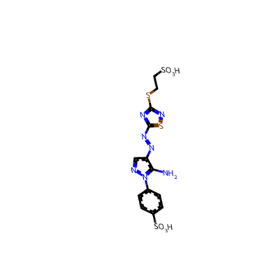 Nc1c(N=Nc2nc(SCCS(=O)(=O)O)ns2)cnn1-c1ccc(S(=O)(=O)O)cc1